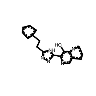 Oc1c(-c2nnc(CCc3ccccc3)[nH]2)ncc2cccnc12